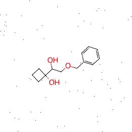 OC(COCc1ccccc1)C1(O)CCC1